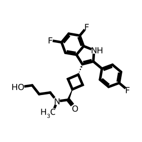 CN(CCCO)C(=O)[C@H]1C[C@H](c2c(-c3ccc(F)cc3)[nH]c3c(F)cc(F)cc32)C1